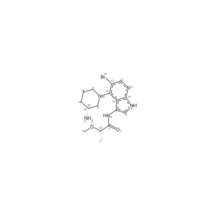 CO[C@@H](C)C(=O)Nc1c[nH]c2ncc(Br)c(N3CCC[C@@H](N)C3)c12